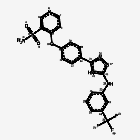 NS(=O)(=O)c1cnccc1Oc1ccc(-c2nnc(Nc3cccc(C(F)(F)F)c3)[nH]2)cc1